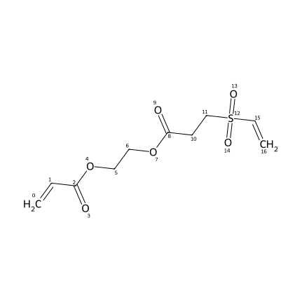 C=CC(=O)OCCOC(=O)CCS(=O)(=O)C=C